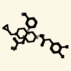 CC(=O)O[C@]12CC[C@@H](NC(=O)Cc3ccc(Cl)c(Cl)c3)C[C@]1(c1cccc(O)c1)CCN(CC1CC1)C2